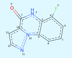 O=c1[nH]c2c(F)cccc2n2nccc12